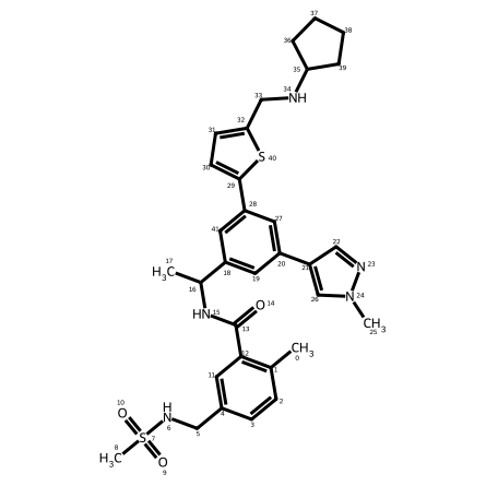 Cc1ccc(CNS(C)(=O)=O)cc1C(=O)NC(C)c1cc(-c2cnn(C)c2)cc(-c2ccc(CNC3CCCC3)s2)c1